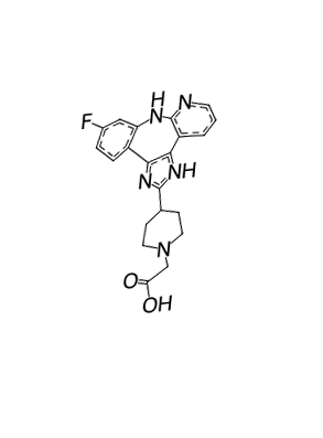 O=C(O)CN1CCC(c2nc3c([nH]2)-c2cccnc2Nc2cc(F)ccc2-3)CC1